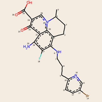 CC1CCc2c(NCCCc3ccc(Br)cn3)c(F)c(N)c3c(=O)c(C(=O)O)cn1c23